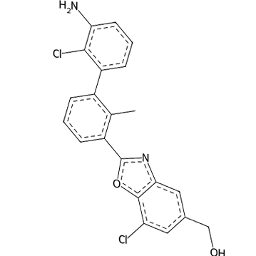 Cc1c(-c2nc3cc(CO)cc(Cl)c3o2)cccc1-c1cccc(N)c1Cl